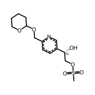 CS(=O)(=O)OC[C@@H](O)c1ccc(COC2CCCCO2)nc1